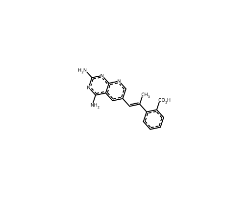 C/C(=C\c1cnc2nc(N)nc(N)c2c1)c1ccccc1C(=O)O